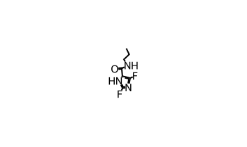 CCCNC(=O)c1[nH]c(F)nc1F